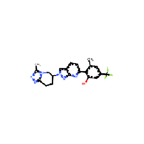 Cc1cc(C(F)(F)F)cc(O)c1-c1ccc2cn(C3CCc4nnc(C)n4C3)nc2n1